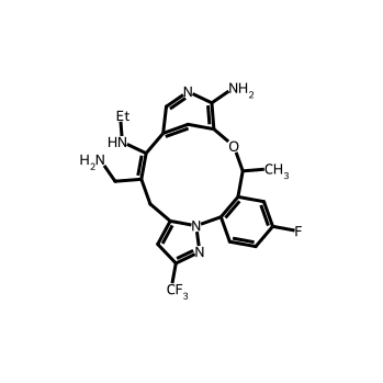 CCN/C1=C(\CN)Cc2cc(C(F)(F)F)nn2-c2ccc(F)cc2C(C)Oc2cc1cnc2N